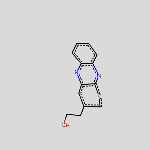 OCCc1ccc2nc3ccccc3nc2c1